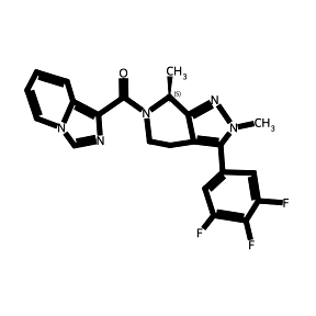 C[C@H]1c2nn(C)c(-c3cc(F)c(F)c(F)c3)c2CCN1C(=O)c1ncn2ccccc12